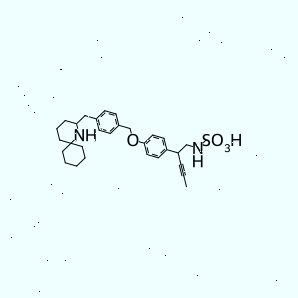 CC#CC(CNS(=O)(=O)O)c1ccc(OCc2ccc(CC3CCCC4(CCCCC4)N3)cc2)cc1